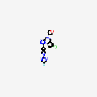 Fc1cnc(N2CC3(CC(c4nnc5n4-c4ccc(Cl)cc4CN([C@@H]4CCOC4)C5)C3)C2)nc1